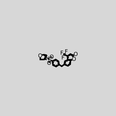 O=c1cc(C(F)(F)F)c2cc(Cc3ccc(S(=O)(=O)N4CC5CC4CO5)cc3)ccc2o1